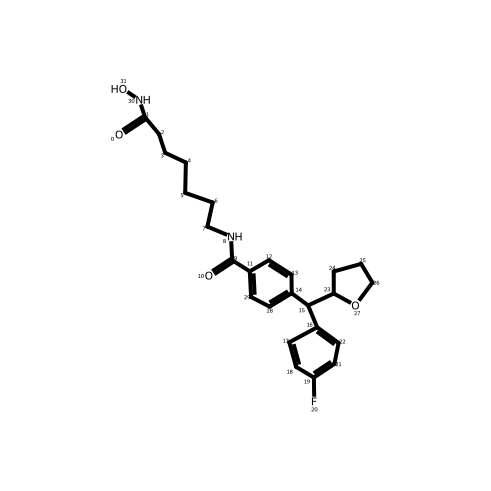 O=C(CCCCCCNC(=O)c1ccc(C(c2ccc(F)cc2)C2CCCO2)cc1)NO